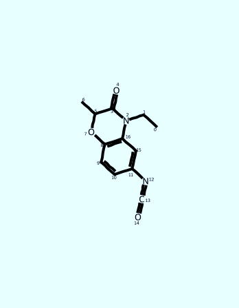 CCN1C(=O)C(C)Oc2ccc(N=C=O)cc21